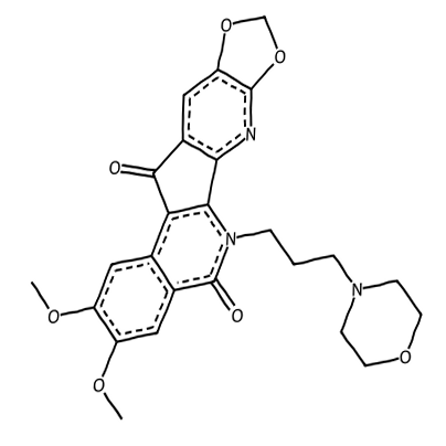 COc1cc2c3c(n(CCCN4CCOCC4)c(=O)c2cc1OC)-c1nc2c(cc1C3=O)OCO2